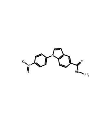 CNC(=O)c1ccc2c(ccn2-c2ccc([N+](=O)[O-])cc2)c1